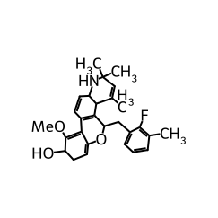 COC1=C2C(=CCC1O)OC(Cc1cccc(C)c1F)C1=C2C=CC2NC(C)(C)C=C(C)C12